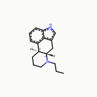 CCCN1CCC[C@H]2c3cccc4[nH]cc(c34)C[C@@H]21